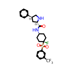 O=C(N[C@H]1CC[C@@](F)(S(=O)(=O)c2cccc(C(F)(F)F)c2)CC1)[C@@H]1C[C@@H](c2ccccc2)CN1